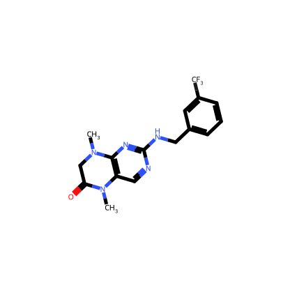 CN1CC(=O)N(C)c2cnc(NCc3cccc(C(F)(F)F)c3)nc21